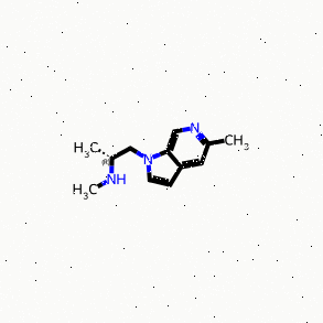 CN[C@H](C)Cn1ccc2cc(C)ncc21